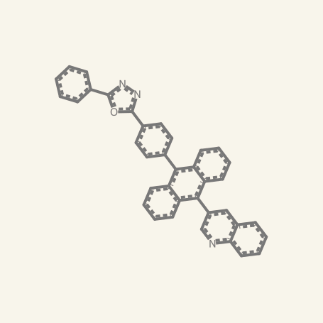 c1ccc(-c2nnc(-c3ccc(-c4c5ccccc5c(-c5cnc6ccccc6c5)c5ccccc45)cc3)o2)cc1